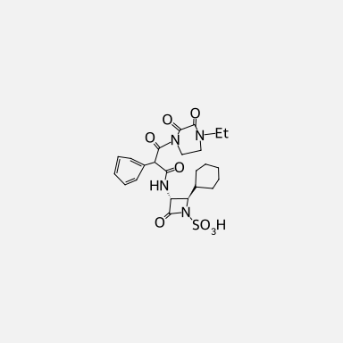 CCN1CCN(C(=O)C(C(=O)N[C@H]2C(=O)N(S(=O)(=O)O)[C@@H]2C2CCCCC2)c2ccccc2)C(=O)C1=O